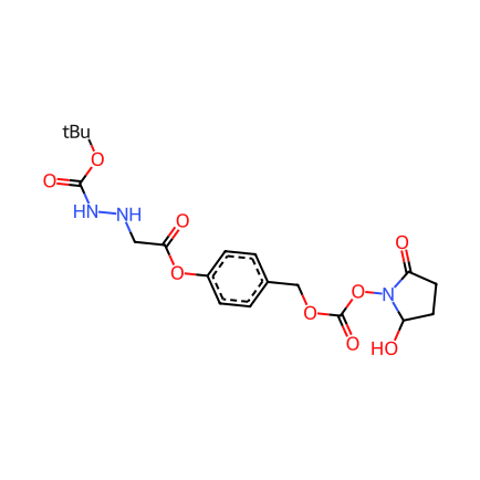 CC(C)(C)OC(=O)NNCC(=O)Oc1ccc(COC(=O)ON2C(=O)CCC2O)cc1